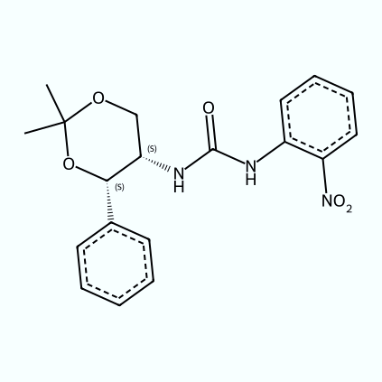 CC1(C)OC[C@H](NC(=O)Nc2ccccc2[N+](=O)[O-])[C@H](c2ccccc2)O1